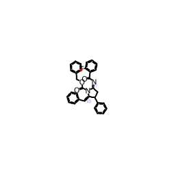 O=C(/N=C1/CC(c2ccccc2)/C(=C/c2ccccc2)N1C(=O)OCc1ccccc1)c1ccccc1F